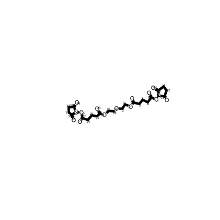 O=C(CCCC(=O)ON1C(=O)CCC1=O)OCCOCCOC(=O)CCCC(=O)ON1C(=O)CCC1=O